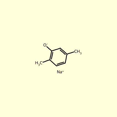 Cc1ccc(C)c([O-])c1.[Na+]